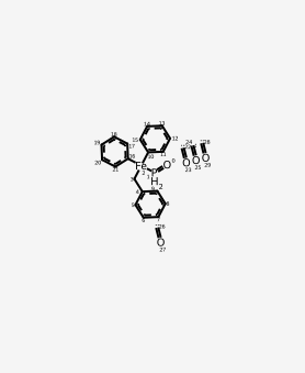 O=[PH2][Fe]([CH2]c1ccccc1)([c]1ccccc1)[c]1ccccc1.[C]=O.[C]=O.[C]=O.[C]=O